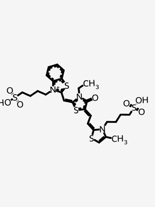 CCn1c(=Cc2sc3ccccc3[n+]2CCCCS(=O)(=O)O)sc(=CC=C2SC=C(C)N2CCCCS(=O)(=O)O)c1=O